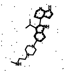 CNCCN1CCN(c2ccc3[nH]c(-c4ccnc5[nH]ccc45)c(C(C)C)c3c2)CC1